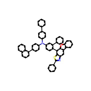 c1ccc(-c2ccc(N(c3ccc(-c4cccc5ccccc45)cc3)c3ccc(-c4c5oc6ccccc6c5cc5nc(-c6ccccc6)sc45)c(-c4ccccc4)c3)cc2)cc1